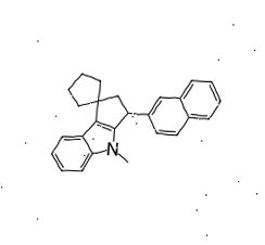 Cn1c2c(c3ccccc31)C1(CCCC1)CC2c1ccc2ccccc2c1